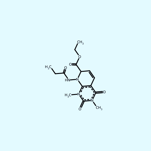 CCOC(=O)C1C=Cc2c(n(C)c(=O)n(C)c2=O)N1NC(=O)CC